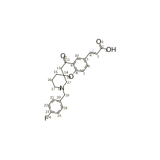 O=C(O)/C=C/c1ccc2c(c1)C(=O)CC1(CCCN(Cc3ccc(F)cc3)C1)O2